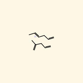 C=CC/C=C/C.C=CCC(=C)C